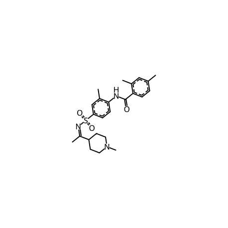 C/C(=N/S(=O)(=O)c1ccc(NC(=O)c2ccc(C)cc2C)c(C)c1)C1CCN(C)CC1